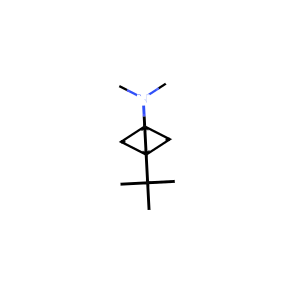 CN(C)C12CC1(C(C)(C)C)C2